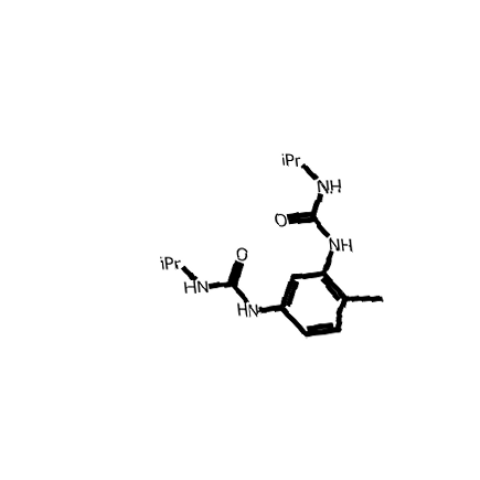 Cc1ccc(NC(=O)NC(C)C)cc1NC(=O)NC(C)C